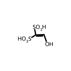 O=S(=O)(O)C(=CO)S(=O)(=O)O